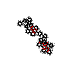 c1ccc(N(c2ccc3c(c2)C2(c4ccccc4-3)c3ccccc3-n3c4cccc(-c5ccc(-c6ccc(N(c7ccc8c(c7)C7(c9ccccc9-8)c8ccccc8-n8c9ccccc9c9cccc7c98)c7ccccc7-c7ccccc7-c7cccc8ccccc78)cc6)cc5)c4c4cccc2c43)c2ccccc2-c2ccccc2-c2cccc3ccccc23)cc1